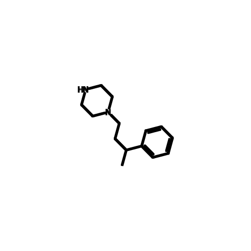 CC(CCN1CCNCC1)c1ccccc1